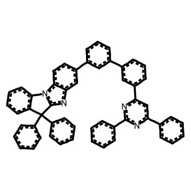 c1ccc(-c2cc(-c3cccc(-c4cccc(-c5ccc6c(c5)nc5n6-c6ccccc6C5(c5ccccc5)c5ccccc5)c4)c3)nc(-c3ccccc3)n2)cc1